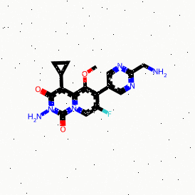 COc1c(-c2cnc(CN)nc2)c(F)cn2c(=O)n(N)c(=O)c(C3CC3)c12